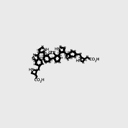 O=C(O)CC1CNC1Cc1ccc2c(-c3cc[nH]c3-c3cccc(-c4cccc(-c5[nH]ccc5-c5nsc6cc(CC7NCC7CC(=O)O)ccc56)c4Cl)c3Cl)nsc2c1